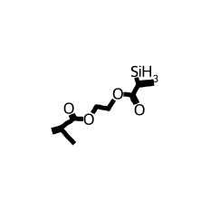 C=C(C)C(=O)OCCOC(=O)C(=C)[SiH3]